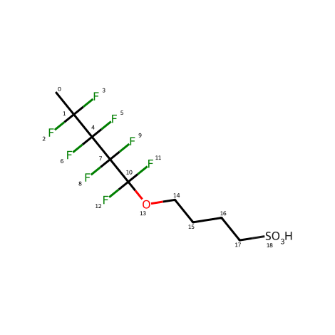 CC(F)(F)C(F)(F)C(F)(F)C(F)(F)OCCCCS(=O)(=O)O